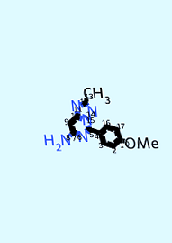 COc1ccc(-c2nc(N)cc3nc(C)nn23)cc1